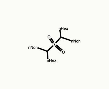 CCCCCCCCCC(CCCCCC)S(=O)(=O)C(CCCCCC)CCCCCCCCC